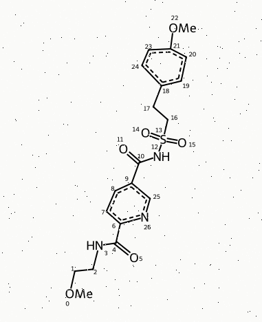 COCCNC(=O)c1ccc(C(=O)NS(=O)(=O)CCc2ccc(OC)cc2)cn1